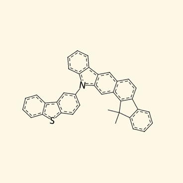 CC1(C)c2ccccc2-c2ccc3cc4c5ccccc5n(-c5ccc6sc7ccccc7c6c5)c4cc3c21